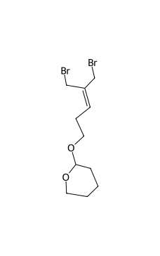 BrCC(=CCCOC1CCCCO1)CBr